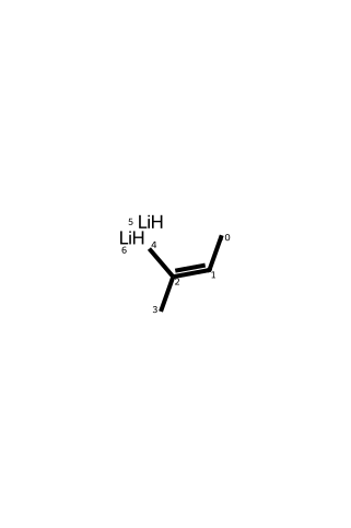 [CH2]C=C(C)C.[LiH].[LiH]